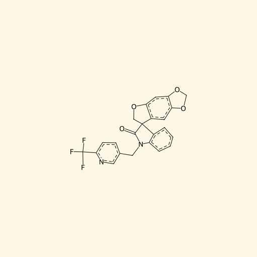 O=C1N(Cc2ccc(C(F)(F)F)nc2)c2ccccc2C12COc1cc3c(cc12)OCO3